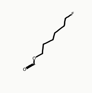 O=[C]OCCCCCCF